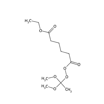 CCOC(=O)CCCCC(=O)OOC(C)(OC)OC